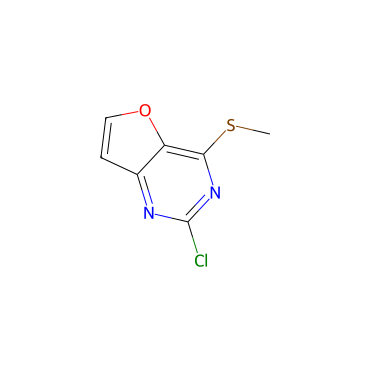 CSc1nc(Cl)nc2ccoc12